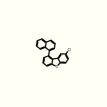 Clc1ccc2sc3cccc(-c4cccc5ccccc45)c3c2c1